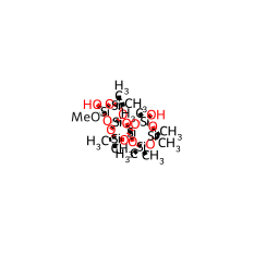 CO[Si]1(O)O[Si](C)(C)O[Si]2(O[Si](C)(C)O[Si]3(O[Si](C)(C)O[Si](C)(C)O[Si](C)(O)O3)O2)O1